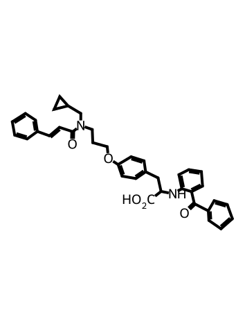 O=C(c1ccccc1)c1ccccc1NC(Cc1ccc(OCCCN(CC2CC2)C(=O)C=Cc2ccccc2)cc1)C(=O)O